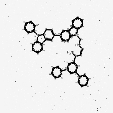 NC(/C=C\NCn1c2ccccc2c2cc(C3=CCC4C(=C3)c3ccccc3N4c3ccccc3)ccc21)c1cc(-c2ccccc2)cc(-c2ccccc2)c1